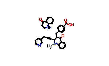 CN1c2ccccc2C(=O)C(Cc2ccc(C(=O)O)cc2)C1C#CCc1cccnc1.O=c1cc[nH]c2ccccc12